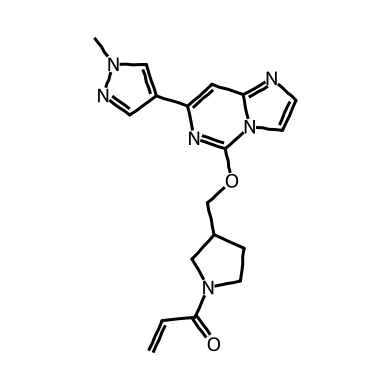 C=CC(=O)N1CCC(COc2nc(-c3cnn(C)c3)cc3nccn23)C1